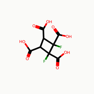 O=C(O)C1C(C(=O)O)C(F)(C(=O)O)C1(F)C(=O)O